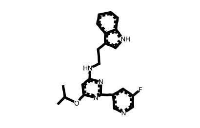 CC(C)Oc1cc(NCCc2c[nH]c3ccccc23)nc(-c2cncc(F)c2)n1